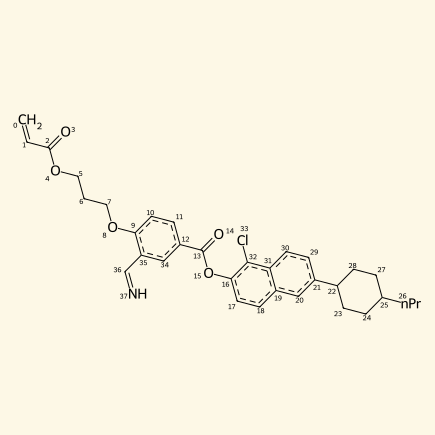 C=CC(=O)OCCCOc1ccc(C(=O)Oc2ccc3cc(C4CCC(CCC)CC4)ccc3c2Cl)cc1C=N